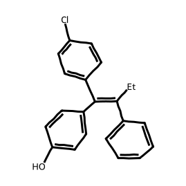 CCC(=C(c1ccc(O)cc1)c1ccc(Cl)cc1)c1ccccc1